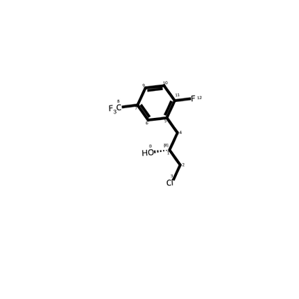 O[C@@H](CCl)Cc1cc(C(F)(F)F)ccc1F